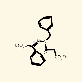 CCOC(=O)CC(=O)N(Cc1ccccc1)/N=C(/C(=O)OCC)c1ccccc1